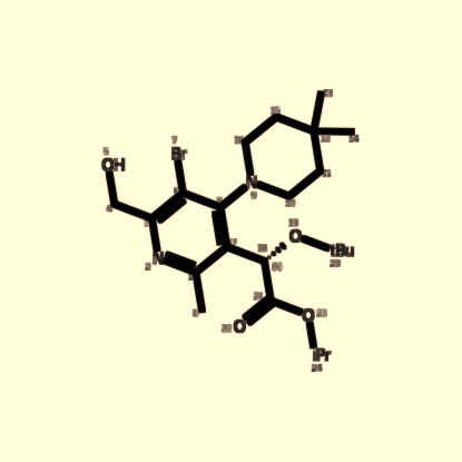 Cc1nc(CO)c(Br)c(N2CCC(C)(C)CC2)c1[C@H](OC(C)(C)C)C(=O)OC(C)C